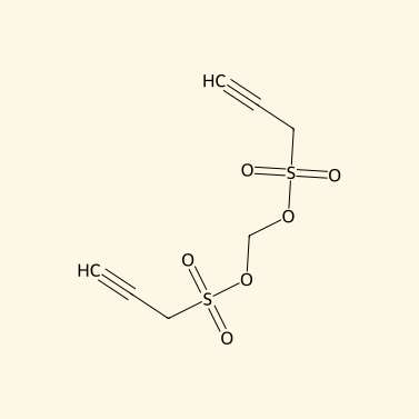 C#CCS(=O)(=O)OCOS(=O)(=O)CC#C